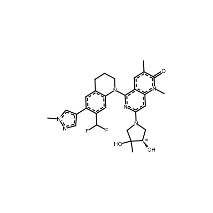 Cc1cc2c(N3CCCc4cc(-c5cnn(C)c5)c(C(F)F)cc43)nc(N3C[C@@H](O)C(C)(O)C3)cc2n(C)c1=O